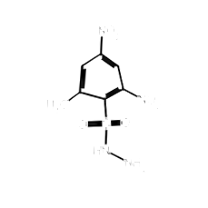 Cc1cc([N+](=O)[O-])cc([N+](=O)[O-])c1S(=O)(=O)NN